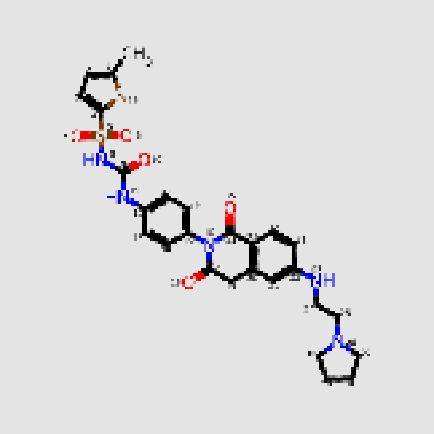 Cc1ccc(S(=O)(=O)NC(=O)Nc2ccc(N3C(=O)Cc4cc(NCCN5CCCC5)ccc4C3=O)cc2)s1